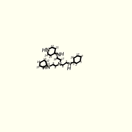 C1CCC(NCCN(CCNC2CCCCC2)CCNC2CCNCC2)CC1